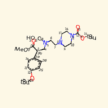 COC(=O)[C@@H](CN(CCN1CCN(C(=O)OC(C)(C)C)CC1)C(=O)O)c1ccc(OC(C)(C)C)cc1